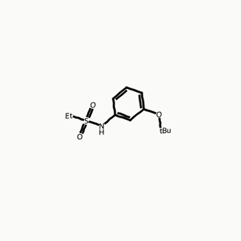 CCS(=O)(=O)Nc1cccc(OC(C)(C)C)c1